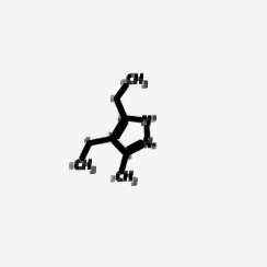 CCC1=C(CC)C(C)=N[N]1